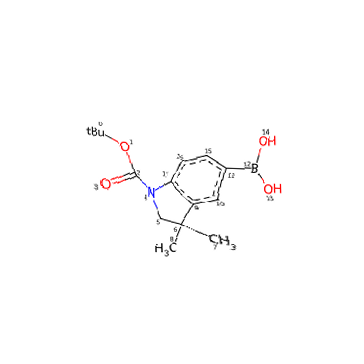 CC(C)(C)OC(=O)N1CC(C)(C)c2cc(B(O)O)ccc21